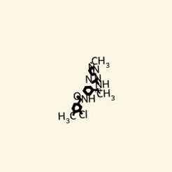 CCn1cc2ncc(N[C@@H](C)c3cccc(NC(=O)c4ccc(C)c(Cl)c4)c3)nc2n1